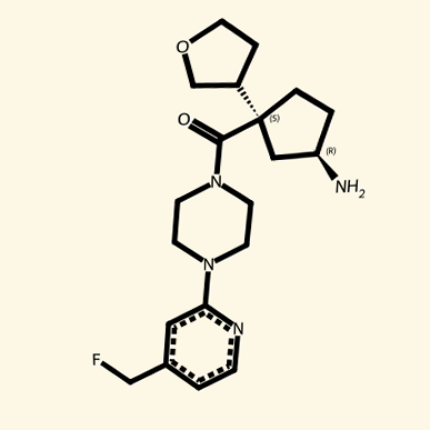 N[C@@H]1CC[C@@](C(=O)N2CCN(c3cc(CF)ccn3)CC2)(C2CCOC2)C1